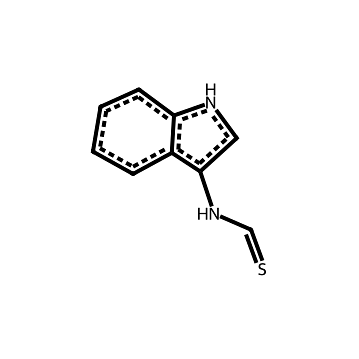 S=CNc1c[nH]c2ccccc12